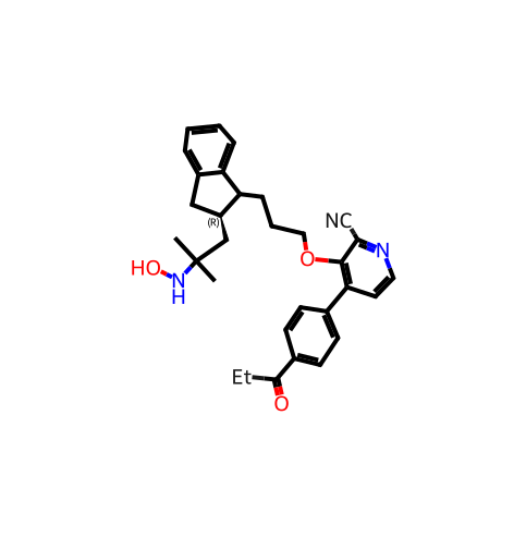 CCC(=O)c1ccc(-c2ccnc(C#N)c2OCCCC2c3ccccc3C[C@@H]2CC(C)(C)NO)cc1